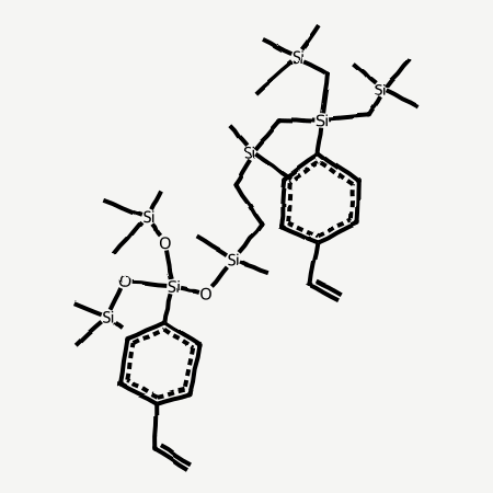 C=Cc1ccc([Si](C[Si](C)(C)C)(C[Si](C)(C)C)C[Si](C)(C)CC[Si](C)(C)O[Si](O[Si](C)(C)C)(O[Si](C)(C)C)c2ccc(C=C)cc2)cc1